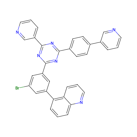 Brc1cc(-c2nc(-c3ccc(-c4cccnc4)cc3)nc(-c3cccnc3)n2)cc(-c2cccc3ncccc23)c1